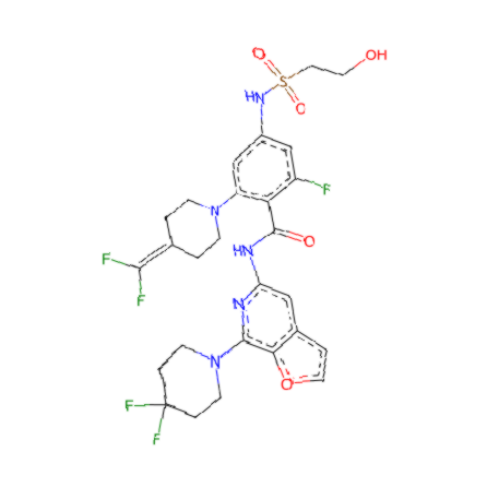 O=C(Nc1cc2ccoc2c(N2CCC(F)(F)CC2)n1)c1c(F)cc(NS(=O)(=O)CCO)cc1N1CCC(=C(F)F)CC1